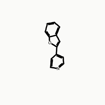 [c]1ccc2cc(-c3ccncc3)oc2c1